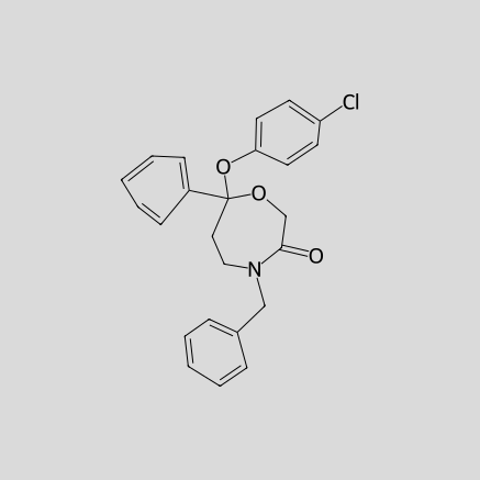 O=C1COC(Oc2ccc(Cl)cc2)(c2ccccc2)CCN1Cc1ccccc1